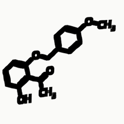 COc1ccc(COc2cccc(O)c2C(C)=O)cc1